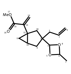 C=CCC1(C2OC(C)O2)CC2CC2(C(=C)C(=O)OC)C1